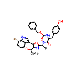 COC(=O)c1nc(C(NC(=O)C(Cc2ccc(O)cc2)NC(=O)OCc2ccccc2)C(C)C)oc1-c1c[nH]c2c(Br)cccc12